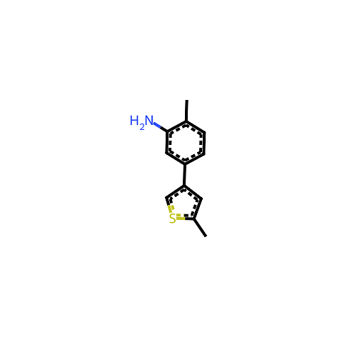 Cc1cc(-c2ccc(C)c(N)c2)cs1